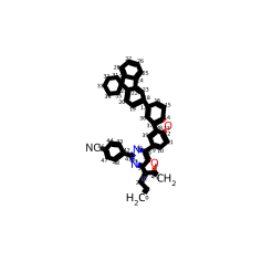 C=C/C=c1\c(=C)oc2c(-c3ccc4oc5ccc(-c6ccc7c(c6)-c6ccccc6C76CCCCC6)cc5c4c3)nc(-c3ccc(C#N)cc3)nc12